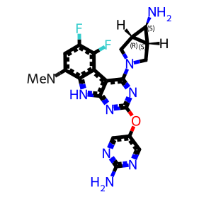 CNc1cc(F)c(F)c2c1[nH]c1nc(Oc3cnc(N)nc3)nc(N3C[C@@H]4[C@@H](N)[C@@H]4C3)c12